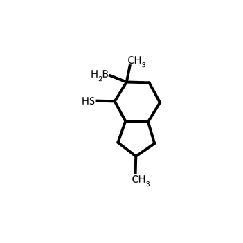 BC1(C)CCC2CC(C)CC2C1S